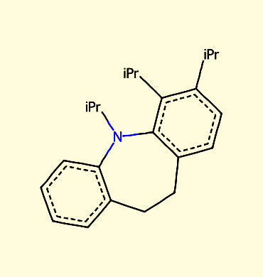 CC(C)c1ccc2c(c1C(C)C)N(C(C)C)c1ccccc1CC2